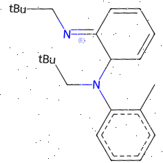 Cc1ccccc1N(CC(C)(C)C)C1C=CC=C/C1=N\CC(C)(C)C